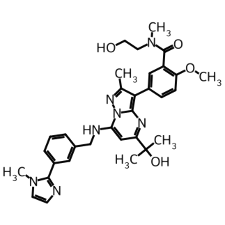 COc1ccc(-c2c(C)nn3c(NCc4cccc(-c5nccn5C)c4)cc(C(C)(C)O)nc23)cc1C(=O)N(C)CCO